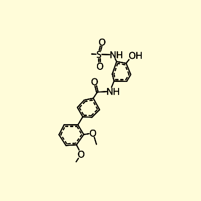 COc1cccc(-c2ccc(C(=O)Nc3ccc(O)c(NS(C)(=O)=O)c3)cc2)c1OC